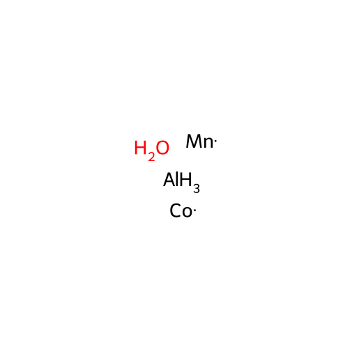 O.[AlH3].[Co].[Mn]